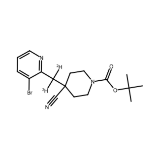 [2H]C([2H])(c1ncccc1Br)C1(C#N)CCN(C(=O)OC(C)(C)C)CC1